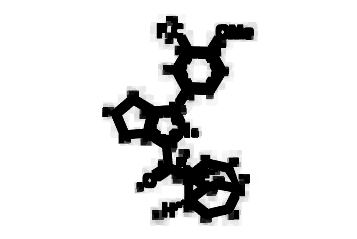 COc1ccc(-n2nc(C(=O)N3CC[N@@]4CC[C@@H]3C(F)(F)C4)c3c2CCC3)cc1C(F)(F)F